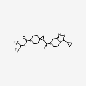 O=C(OC(C(F)(F)F)C(F)(F)F)N1CCC2(CC1)CC2C(=O)N1CCn2c(nnc2C2CC2)C1